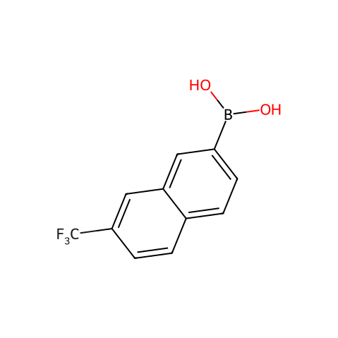 OB(O)c1ccc2ccc(C(F)(F)F)cc2c1